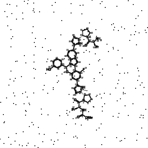 COC(=O)N[C@H](C(=O)N1CCC[C@H]1c1ncc(-c2cc(F)c3c(c2)OC(c2cccc(O)c2)n2c-3cc3cc(-c4cnc([C@@H]5CCCN5C(=O)[C@@H](N)C(C)C)[nH]4)ccc32)[nH]1)C(C)C